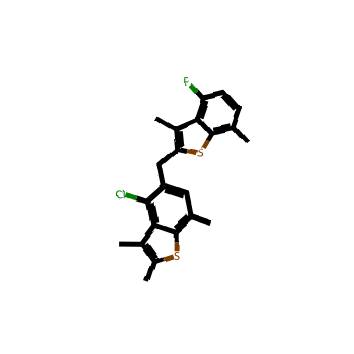 Cc1sc2c(C)cc(Cc3sc4c(C)ccc(F)c4c3C)c(Cl)c2c1C